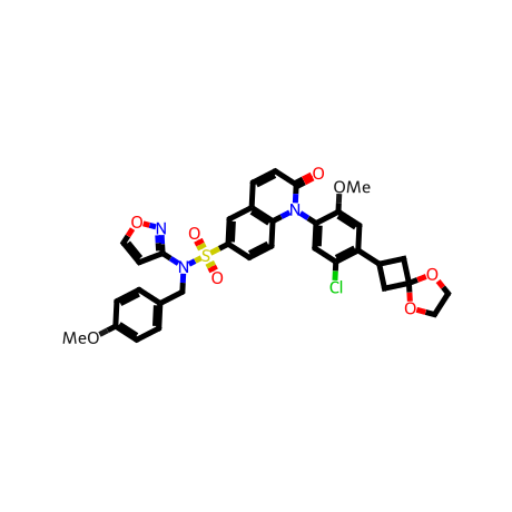 COc1ccc(CN(c2ccon2)S(=O)(=O)c2ccc3c(ccc(=O)n3-c3cc(Cl)c(C4CC5(C4)OCCO5)cc3OC)c2)cc1